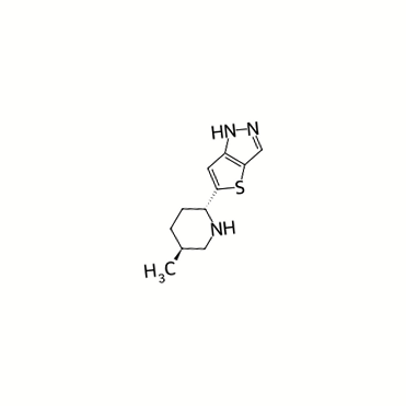 C[C@H]1CC[C@H](c2cc3[nH]ncc3s2)NC1